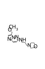 COCc1cnc2ccc(NCCCN3CCOCC3)nn12